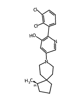 C[C@@H]1CCCC12CCN(c1cnc(-c3cccc(Cl)c3Cl)c(O)c1)CC2